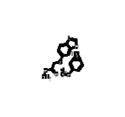 COC(=O)COc1ccc2ncoc2c1.COc1ccc2c(c1)N2